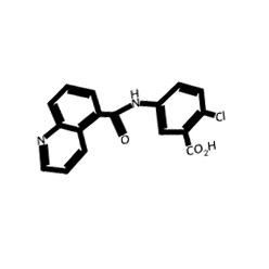 O=C(O)c1cc(NC(=O)c2cccc3ncccc23)ccc1Cl